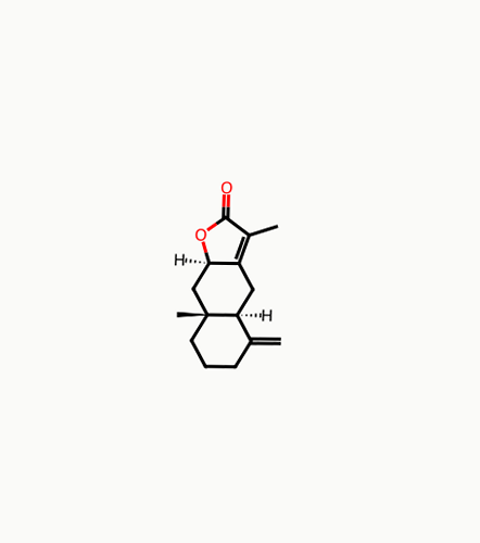 C=C1CCC[C@]2(C)C[C@H]3OC(=O)C(C)=C3C[C@@H]12